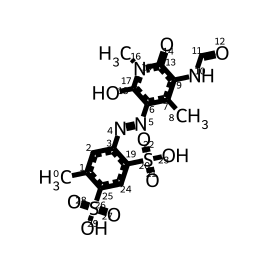 Cc1cc(N=Nc2c(C)c(NC=O)c(=O)n(C)c2O)c(S(=O)(=O)O)cc1S(=O)(=O)O